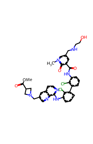 COC(=O)C1CN(Cc2cnc3c(Nc4cccc(-c5cccc(NC(=O)c6cc(CNCCO)cn(C)c6=O)c5Cl)c4Cl)nccc3c2)C1